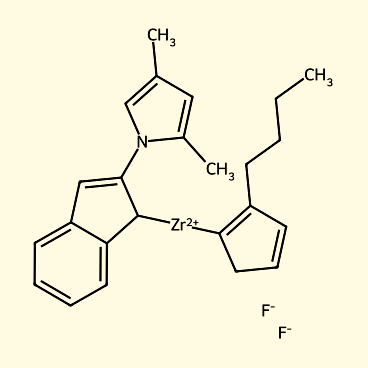 CCCCC1=[C]([Zr+2][CH]2C(n3cc(C)cc3C)=Cc3ccccc32)CC=C1.[F-].[F-]